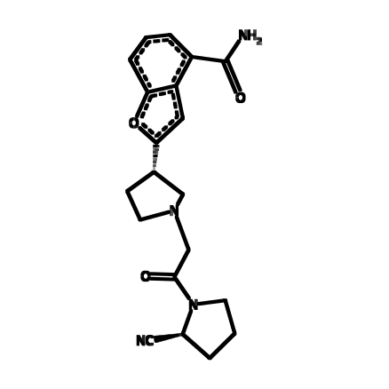 N#C[C@@H]1CCCN1C(=O)CN1CC[C@H](c2cc3c(C(N)=O)cccc3o2)C1